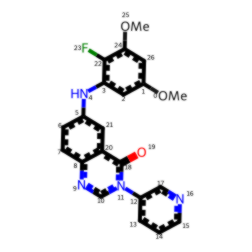 COc1cc(Nc2ccc3ncn(-c4cccnc4)c(=O)c3c2)c(F)c(OC)c1